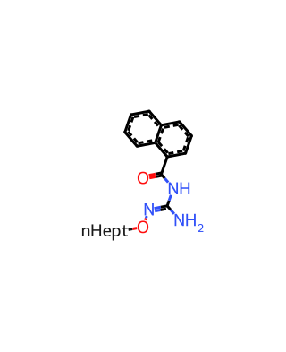 CCCCCCCON=C(N)NC(=O)c1cccc2ccccc12